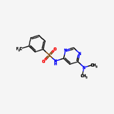 CN(C)c1cc(NS(=O)(=O)c2cccc(C(F)(F)F)c2)ncn1